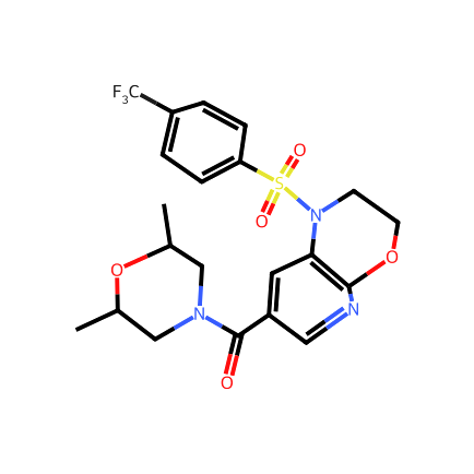 CC1CN(C(=O)c2cnc3c(c2)N(S(=O)(=O)c2ccc(C(F)(F)F)cc2)CCO3)CC(C)O1